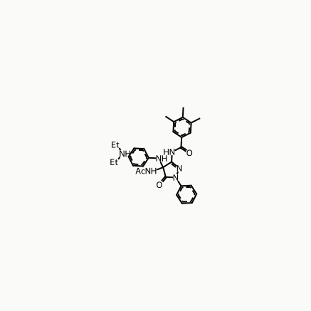 CC(=O)NC1(Nc2ccccc2)C(=O)N(c2ccccc2)N=C1NC(=O)c1cc(C)c(C)c(C)c1.CCNCC